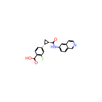 O=C(O)c1ccc([C@@H]2C[C@H]2C(=O)Nc2ccc3cnccc3c2)cc1F